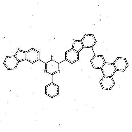 c1ccc(C2=NC(c3ccc4c(c3)sc3cccc(-c5ccc6c7ccccc7c7ccccc7c6c5)c34)NC(c3ccc4sc5ccccc5c4c3)=N2)cc1